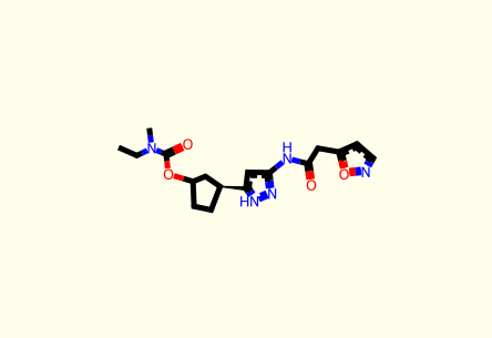 CCN(C)C(=O)OC1CC[C@H](c2cc(NC(=O)Cc3ccno3)n[nH]2)C1